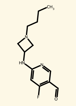 CCCCN1CC(Nc2cc(F)c(C=O)cn2)C1